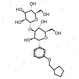 OC[C@H]1O[C@H](O[C@@H]2[C@H](O)[C@@H](c3cccc(OCC4CCCC4)c3)O[C@H](CO)[C@H]2O)[C@@H](O)[C@@H](O)[C@@H]1O